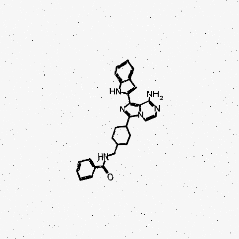 Nc1nccn2c(C3CCC(CNC(=O)c4ccccc4)CC3)nc(-c3cc4ccccc4[nH]3)c12